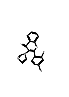 O=c1c(-n2ccnc2)c(-c2ccc(Cl)cc2Cl)oc2ccccc12